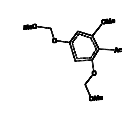 COCOc1cc(OC)c(C(C)=O)c(OCOC)c1